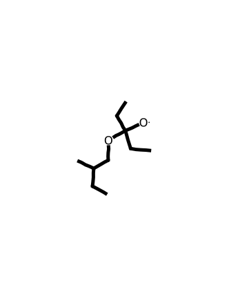 CCC(C)COC([O])(CC)CC